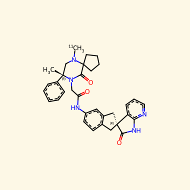 C[C@@]1(c2ccccc2)CN([11CH3])C2(CCCC2)C(=O)N1CC(=O)Nc1ccc2c(c1)C[C@@]1(C2)C(=O)Nc2ncccc21